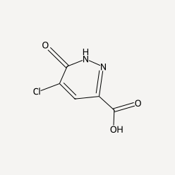 O=C(O)c1cc(Cl)c(=O)[nH]n1